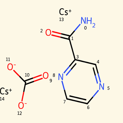 NC(=O)c1cnccn1.O=C([O-])[O-].[Cs+].[Cs+]